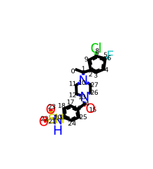 CC(c1ccc(F)c(Cl)c1)N1CCN(C(=O)c2ccc(N[SH](=O)=O)cc2)CC1